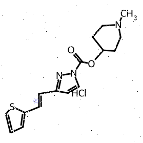 CN1CCC(OC(=O)n2ccc(/C=C/c3cccs3)n2)CC1.Cl